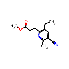 CCc1cc(C#N)c(C)nc1CCC(=O)OC